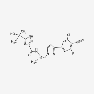 C[C@@H](Cn1ccc(-c2cc(F)c(C#N)c(Cl)c2)n1)NC(=O)c1cc(C(C)(C)O)[nH]n1